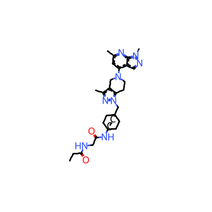 CCC(=O)NCC(=O)NC12CCC(Cn3nc(C)c4c3CCN(c3cc(C)nc5c3cnn5C)C4)(CC1)CC2